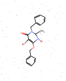 CC1N(Br)C(OCc2ccccc2)=C(Br)C(=O)N1Cc1ccccc1